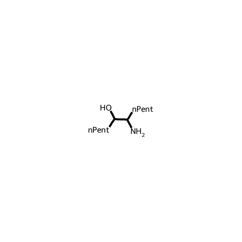 CCCCCC(N)C(O)CCCCC